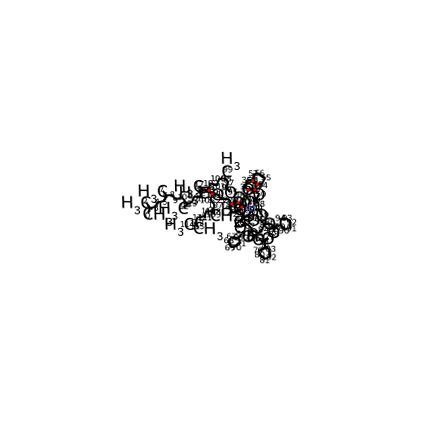 CC(C)CCCC(C)CCCC(C)CCCC(C)CCOCC(CO[C@H](O)/C(OC(=O)c1ccccc1)=C(\OC(=O)c1ccccc1)[C@@H](CCOC(=O)c1ccccc1)O[C@@H]1OC2COC(c3ccccc3)O[C@@H]2C(OC(=O)c2ccccc2)CC1OC(=O)c1ccccc1)OCCC(C)CCCC(C)CCCC(C)CCCC(C)C